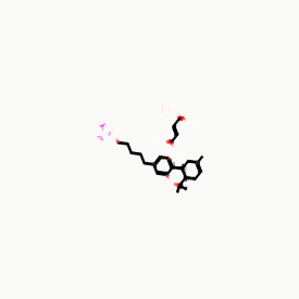 CC1=CC[C@@H]2[C@@H](C1)c1c(OC(=O)C=CC(=O)O)cc(CCCCCO[N+](=O)[O-])cc1OC2(C)C